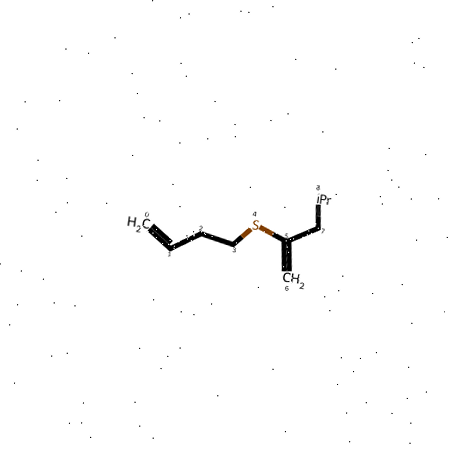 C=CCCSC(=C)CC(C)C